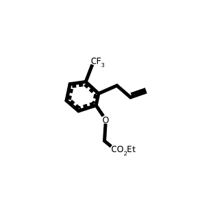 C=CCc1c(OCC(=O)OCC)cccc1C(F)(F)F